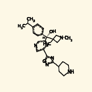 CC(C)c1ccc([C@](O)(c2cncc(-c3nc(C4CCNCC4)no3)c2)C2(C)CN(C)C2)cc1